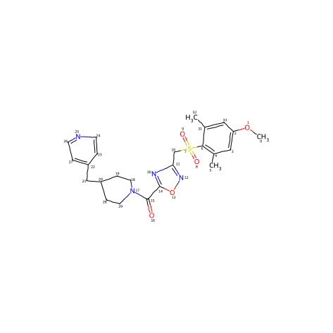 COc1cc(C)c(S(=O)(=O)Cc2noc(C(=O)N3CCC(Cc4ccncc4)CC3)n2)c(C)c1